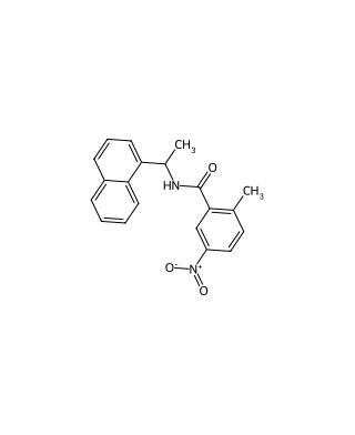 Cc1ccc([N+](=O)[O-])cc1C(=O)NC(C)c1cccc2ccccc12